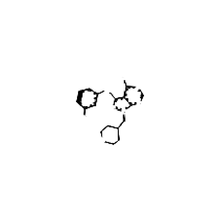 Nc1ncnc2c1c(Oc1cc#cc(Cl)c1)nn2CC1CCNCC1